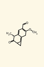 COC1=C(C=O)C=C2C(=C3CC3C(=O)N2C)C1